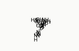 CO[C@H]1[C@@H](OP(=O)(OC[C@@H]2CCC(n3cc4c5c(ncnc53)NCCC4)C2)SC)[C@H](n2cnc3c(=O)[nH]c(N)nc32)O[C@@H]1COP(=O)(O)S